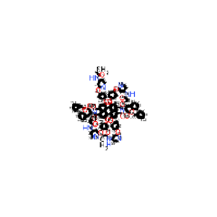 C=CC(=O)Nc1ccnc(Oc2ccc(Oc3cc4c5c(cc(Oc6ccc(Oc7cc(NC(=O)C=C)ccn7)cc6)c6c7c(Oc8ccc(Oc9cc(NC(=O)C=C)ccn9)cc8)cc8c9c(cc(Oc%10ccc(Oc%11cc(NC(=O)C=C)ccn%11)cc%10)c(c3c56)c97)C(=O)N(C(Cc3ccccc3)C(=O)OCc3ccccc3)C8=O)C(=O)N(C(Cc3ccccc3)C(=O)OCc3ccccc3)C4=O)cc2)c1